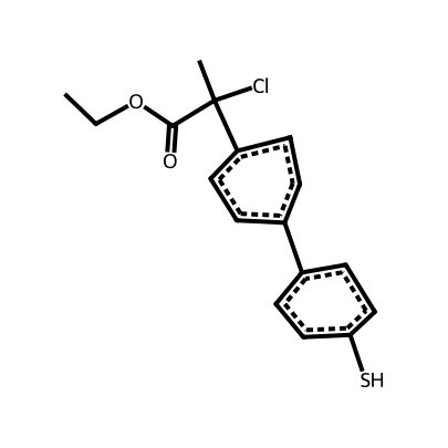 CCOC(=O)C(C)(Cl)c1ccc(-c2ccc(S)cc2)cc1